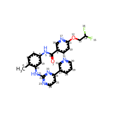 Cc1ccc(NC(=O)c2ccc(OCC(F)F)nc2)cc1Nc1nccc(-c2cccnc2)n1